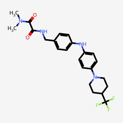 CN(C)C(=O)C(=O)NCc1ccc(Nc2ccc(N3CCC(C(F)(F)F)CC3)cc2)cc1